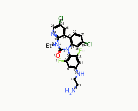 CCN1C(=O)N(c2c(F)cc(NCCN)cc2F)c2cc(Cl)ccc2-c2cc(Cl)cnc21